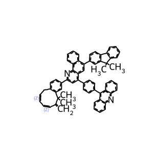 C=C1/C=C\C=C/Cc2ccc(-c3cc(-c4ccc(-c5c6ccccc6nc6ccccc56)cc4)c4cc(-c5ccc6c(c5)C(C)(C)c5ccccc5-6)c5ccccc5c4n3)cc2C1(C)C